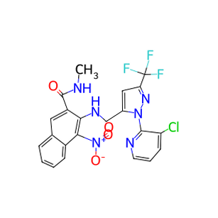 CNC(=O)c1cc2ccccc2c([N+](=O)[O-])c1NC(=O)c1cc(C(F)(F)F)nn1-c1ncccc1Cl